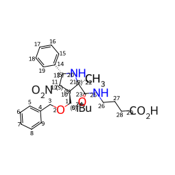 CC[C@H](C)C(OCc1ccccc1)[C@H]1[C@H]([N+](=O)[O-])[C@H](c2ccccc2)N[C@@]1(C)C(=O)NCCCC(=O)O